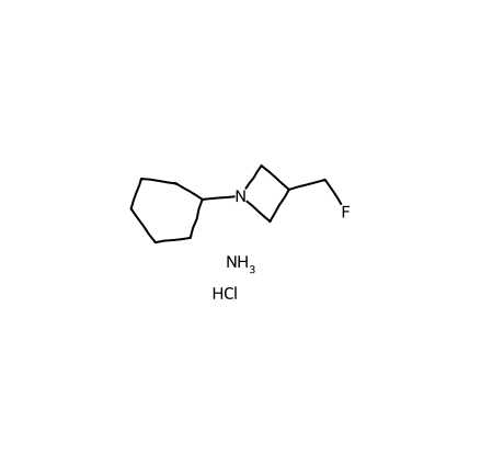 Cl.FCC1CN(C2CCCCC2)C1.N